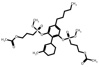 CCCCCc1cc(OP(=O)(CCCOC(C)=O)OC)c(C2C=C(C)CCC2)c(OP(=O)(CCCOC(C)=O)OC)c1